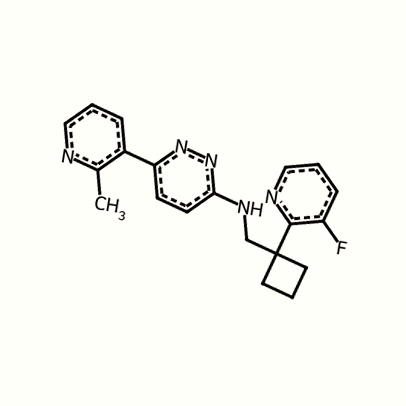 Cc1ncccc1-c1ccc(NCC2(c3ncccc3F)CCC2)nn1